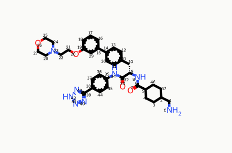 NCC1CCC(C(=O)N[C@@H](Cc2ccc(-c3cccc(OCCN4CCOCC4)c3)cc2)C(=O)Nc2ccc(-c3nn[nH]n3)cc2)CC1